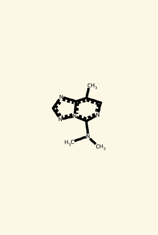 Cc1cnc(N(C)C)n2ncnc12